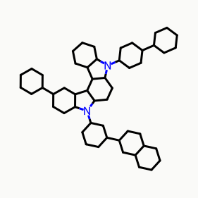 C1CCC(C2CCC(N3C4CCCCC4C4C5C6CC(C7CCCCC7)CCC6N(C6CCCC(C7CCC8CCCCC8C7)C6)C5CCC43)CC2)CC1